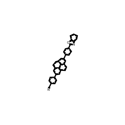 N#Cc1ccc(-c2cc3ccc4cc(-c5ccc(-c6nc7ccccc7o6)cc5)cc5ccc(c2)c3c45)cc1